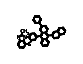 Cc1nc2cccc3c2n1-c1ccc(-c2c4ccccc4c(-c4ccc5ccccc5c4)c4ccc(-c5ccccc5)cc24)cc1S3